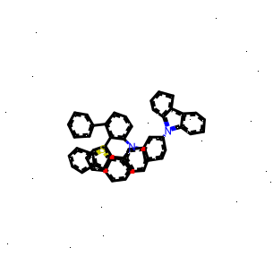 c1ccc(-c2ccccc2-c2c(-c3ccccc3)cccc2N(c2cccc(-n3c4ccccc4c4ccccc43)c2)c2cccc3c2sc2ccccc23)cc1